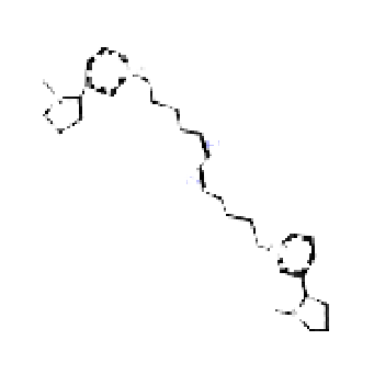 CN1CCCC1c1ccc[n+](CCCC/C=C\C=C/CCCC[n+]2cccc(C3CCCN3C)c2)c1